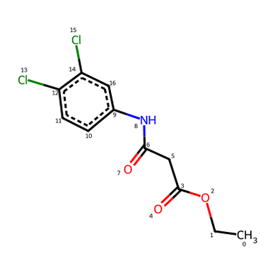 CCOC(=O)CC(=O)Nc1ccc(Cl)c(Cl)c1